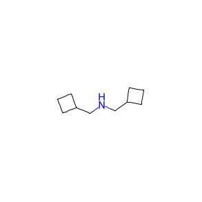 C1CC(CNCC2CCC2)C1